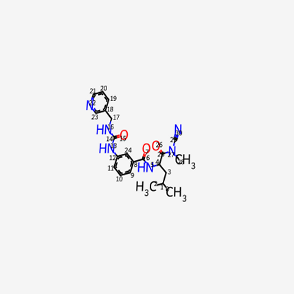 CC(C)CC(NC(=O)c1cccc(NC(=O)NCc2cccnc2)c1)C(=O)N(C)C#N